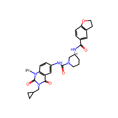 CC(C)n1c(=O)n(CC2CC2)c(=O)c2cc(NC(=O)N3CCC[C@@H](NC(=O)c4ccc5c(c4)CCO5)C3)ccc21